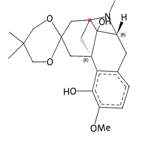 COc1ccc2c(c1O)[C@]13CCN(C)[C@H](C2)C1(O)CCC1(C3)OCC(C)(C)CO1